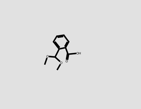 COC(OC)c1ccccc1C(=O)O